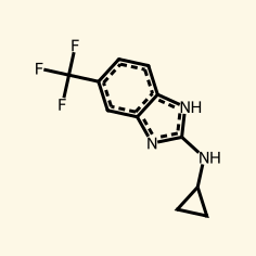 FC(F)(F)c1ccc2[nH]c(NC3CC3)nc2c1